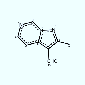 Cc1nn2cnccc2c1C=O